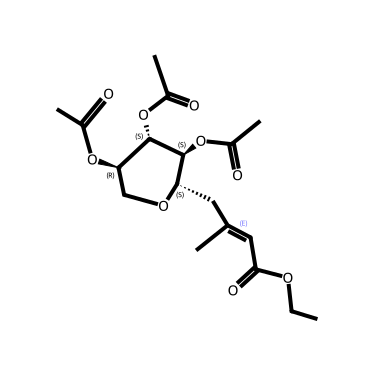 CCOC(=O)/C=C(\C)C[C@@H]1OC[C@@H](OC(C)=O)[C@H](OC(C)=O)[C@H]1OC(C)=O